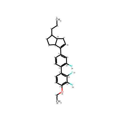 CCCC1CCC2C(c3ccc(-c4ccc(OCC)c(F)c4F)c(F)c3)=CCC12